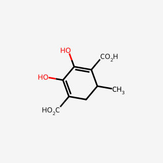 CC1CC(C(=O)O)=C(O)C(O)=C1C(=O)O